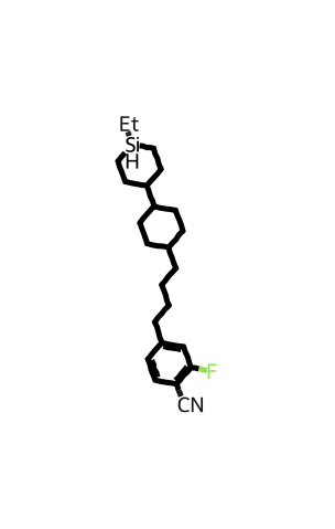 CC[SiH]1CCC(C2CCC(CCCCc3ccc(C#N)c(F)c3)CC2)CC1